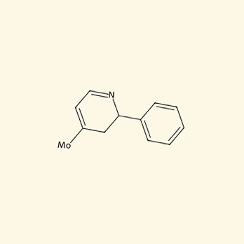 [Mo][C]1=CC=NC(c2ccccc2)C1